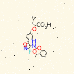 CC(OC(=O)Nc1c(F)noc1-c1ccc(COC(CC2CC2)C(=O)O)cc1)c1ccccc1